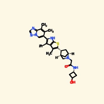 Cc1c(-c2[nH]c3sc([C@@H]4C[C@@H]5C[C@H]4CN5CC(=O)N[C@H]4C[C@H](O)C4)c(C)c3c2C(C)C)cn2ncnc2c1C